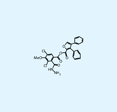 COc1c(Cl)cc(C(=O)OC(=O)c2occ(-c3ccccc3)c2-c2ccccc2)c(C(=O)NN)c1Cl